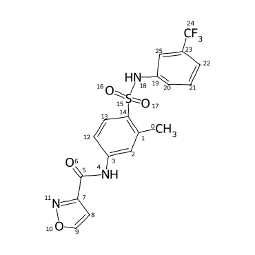 Cc1cc(NC(=O)c2ccon2)ccc1S(=O)(=O)Nc1cccc(C(F)(F)F)c1